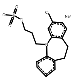 O=S(=O)([O-])OCCCN1c2ccccc2CCc2ccc(Cl)cc21.[Na+]